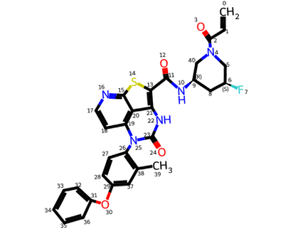 C=CC(=O)N1C[C@@H](F)C[C@@H](NC(=O)c2sc3nccc4c3c2NC(=O)N4c2ccc(Oc3ccccc3)cc2C)C1